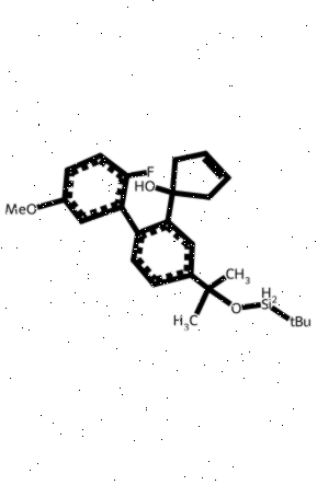 COc1ccc(F)c(-c2ccc(C(C)(C)O[SiH2]C(C)(C)C)cc2C2(O)CC=CC2)c1